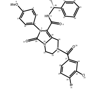 COc1ccc(-n2c(C(=O)N[C@H](C)c3ccccc3)c3n(c2=O)CCN(C(=O)c2ccc(Br)c(Cl)c2)C3)cc1